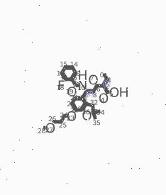 C/C=C(/C(=O)O)C(=O)/C=C1\NC(c2ccccc2F)Oc2cc(OCCCOC)c3c(c21)CC(C)(C)O3